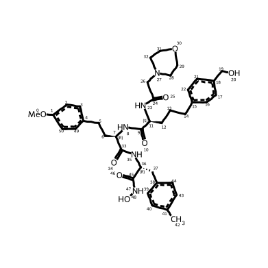 COc1ccc(CC[C@@H](NC(=O)[C@H](CCCc2ccc(CO)cc2)NC(=O)CN2CCOCC2)C(=O)N[C@H](Cc2ccc(C)cc2)C(=O)NO)cc1